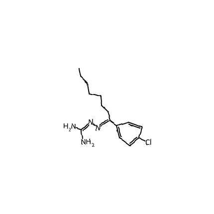 CCCCCCCC(=NN=C(N)N)c1ccc(Cl)cc1